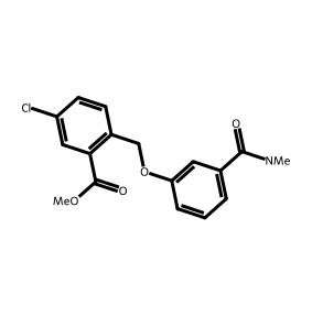 CNC(=O)c1cccc(OCc2ccc(Cl)cc2C(=O)OC)c1